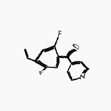 C=Cc1cc(F)c(C(=O)c2ccncc2)cc1F